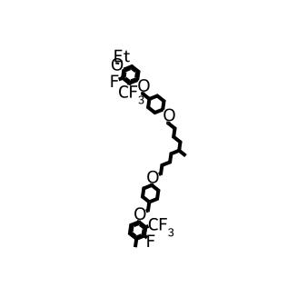 CCOc1ccc(OCC2CCC(OCCCCC(C)CCCCOC3CCC(COc4ccc(C)c(F)c4C(F)(F)F)CC3)CC2)c(C(F)(F)F)c1F